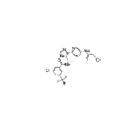 C[C@H](NC(=O)c1cc(Cl)cc(C(F)(F)F)c1)c1ncnn1-c1ccc(NC(=S)CC2CC2)cn1